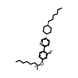 CCCCCC[C@H](C)Oc1ccc(-c2ccc([C@H]3CC[C@H](CCCCCC)CC3)cn2)c(F)c1